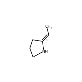 C/C=C1\CCCN1